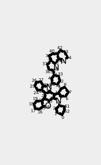 c1ccc(-n2c3ccccc3c3c2c2oc4ccccc4c2c2c4ccccc4n(-c4cccc(-c5ccc6ccc7cccnc7c6n5)c4)c23)cc1